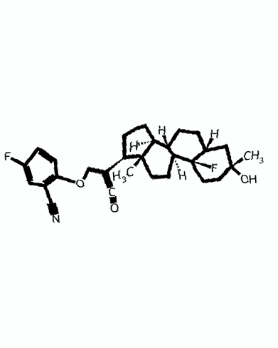 C[C@@]1(O)CC[C@@]2(F)[C@H](CC[C@H]3[C@@H]4CC[C@H](C(=C=O)COc5ccc(F)cc5C#N)[C@@]4(C)CC[C@@H]32)C1